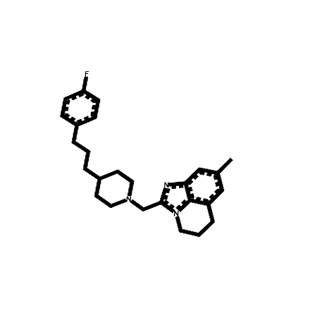 Cc1cc2c3c(c1)nc(CN1CCC(CCCc4ccc(F)cc4)CC1)n3CCC2